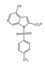 Cc1ccc(S(=O)(=O)n2c(C(=O)O)cc3c(C#N)cncc32)cc1